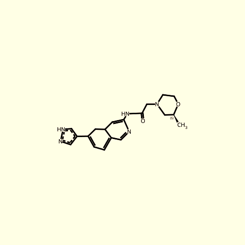 C[C@H]1CN(CC(=O)NC2=CC3CC(c4cn[nH]c4)=CC=C3C=N2)CCO1